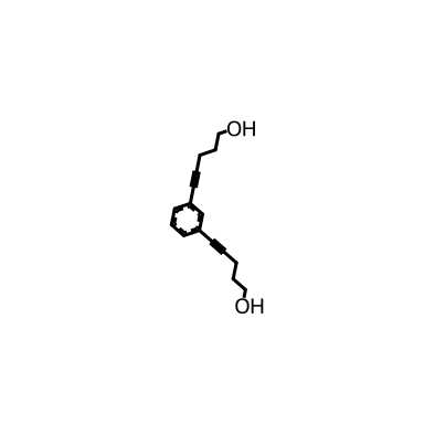 OCCCC#Cc1cccc(C#CCCCO)c1